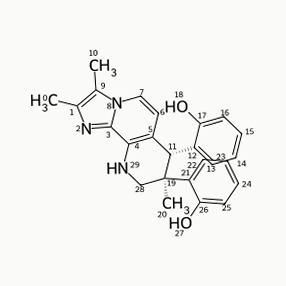 Cc1nc2c3c(ccn2c1C)[C@H](c1ccccc1O)[C@@](C)(c1ccccc1O)CN3